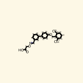 O=C(O)CO/N=C/c1cccc(-c2ccc(OCc3c(Cl)cccc3Cl)cc2)c1